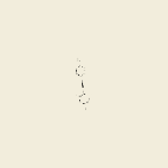 Cc1cc(F)c(C#Cc2ccc(N)cc2)c(F)c1